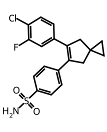 NS(=O)(=O)c1ccc(C2=C(c3ccc(Cl)c(F)c3)CC3(CC3)C2)cc1